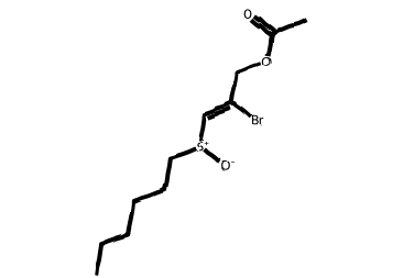 CCCCCC[S+]([O-])/C=C(\Br)COC(C)=O